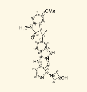 COc1ccc2c(c1)[C@]1(C[C@H]1c1ccc3c(Nc4ncnc(N5CC(O)C5)c4Cl)n[nH]c3c1)C(=O)N2C